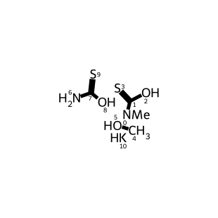 CNC(O)=S.CO.NC(O)=S.[KH]